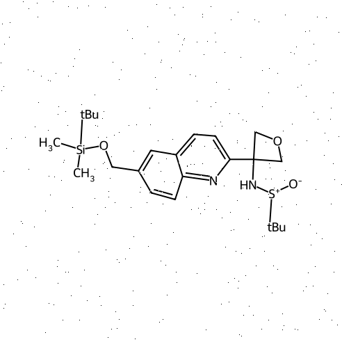 CC(C)(C)[S+]([O-])NC1(c2ccc3cc(CO[Si](C)(C)C(C)(C)C)ccc3n2)COC1